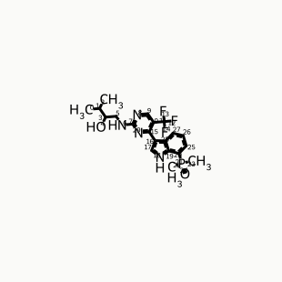 CC(C)C(O)CNc1ncc(C(F)(F)F)c(-c2c[nH]c3c(P(C)(C)=O)cccc23)n1